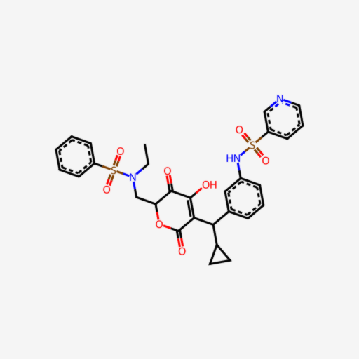 CCN(CC1OC(=O)C(C(c2cccc(NS(=O)(=O)c3cccnc3)c2)C2CC2)=C(O)C1=O)S(=O)(=O)c1ccccc1